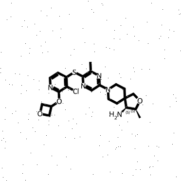 Cc1nc(N2CCC3(CC2)CO[C@@H](C)[C@H]3N)[c]nc1Sc1ccnc(OC2COC2)c1Cl